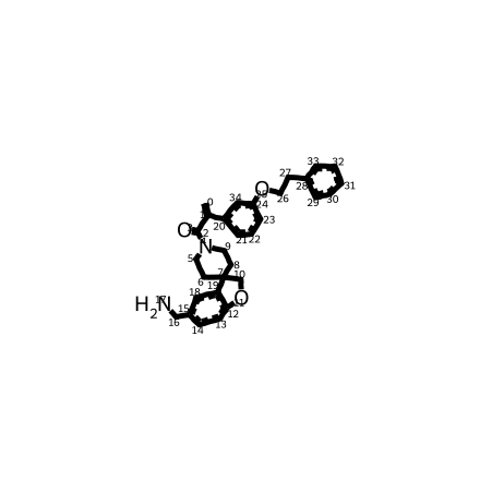 C=C(C(=O)N1CCC2(CC1)COc1ccc(CN)cc12)c1cccc(OCCc2ccccc2)c1